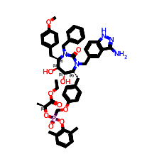 CCOC(=O)[C@H](C)OP(=O)(COc1ccc(C[C@@H]2[C@H](O)[C@@H](O)[C@@H](Cc3ccc(OC)cc3)N(Cc3ccccc3)C(=O)N2Cc2ccc3[nH]nc(N)c3c2)cc1)Oc1c(C)cccc1C